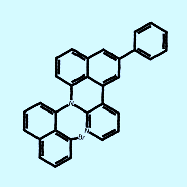 Brc1cccc2cccc(N3c4ncccc4-c4cc(-c5ccccc5)cc5cccc3c45)c12